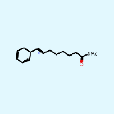 CNC(=O)CCCCC/C=C/C1C=CC=CC1